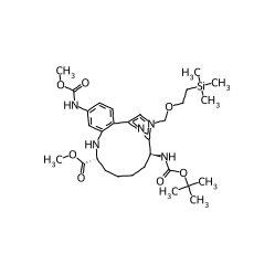 COC(=O)Nc1ccc2c(c1)N[C@@H](C(=O)OC)CCCC[C@H](NC(=O)OC(C)(C)C)c1nc-2cn1COCC[Si](C)(C)C